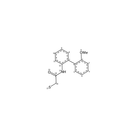 COc1ccccc1-c1ccccc1NC(=O)C[S]